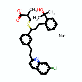 CC(CSC(CCc1ccccc1C(C)(C)O)c1cccc(CCc2ccc3ccc(Cl)cc3n2)c1)C(=O)[O-].[Na+]